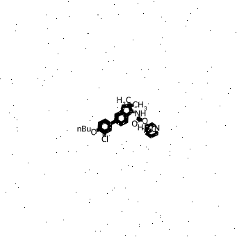 CCCCOc1ccc(-c2ccc3c(c2)CC(C)(C)[C@H]3NC(=O)O[C@H]2CN3CCC2CC3)cc1Cl